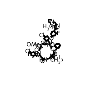 COC[C@@H]1NC(=O)[C@H](C)N(Cc2ccc(Cl)cc2Oc2ccc(-c3cnc(CN4CCCC4)n3C)c(F)c2)C(=O)C[C@@H](Cc2ccccc2)C(=O)N(C)[C@@H](C)CNC(=O)C[C@H](Cc2ccc(Cl)cc2)N(C)C1=O